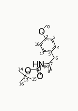 COc1ccc(C[C@@H](C)NC(=O)OC(C)(C)C)cc1